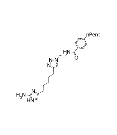 CCCCCc1ccc(C(=O)NCCn2cc(CCCCCc3c[nH]c(N)n3)nn2)cc1